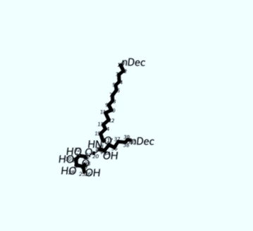 CCCCCCCCCCCCCCCCCCCCCCCCCC(=O)N[C@@H](COC1OC(CO)C(O)C(O)C1O)[C@H](O)CCCCCCCCCCCCCCC